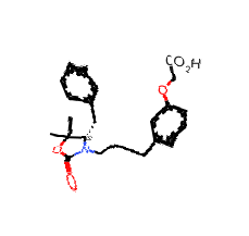 CC1(C)OC(=O)N(CCCc2cccc(OCC(=O)O)c2)[C@H]1Cc1ccccc1